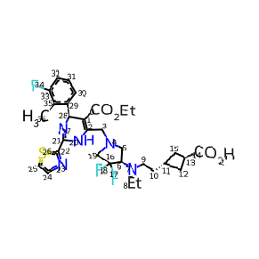 CCOC(=O)C1=C(CN2C[C@@H](N(CC)CC[C@H]3C[C@H](C(=O)O)C3)C(F)(F)C2)NC(c2nccs2)=N[C@H]1c1cccc(F)c1C